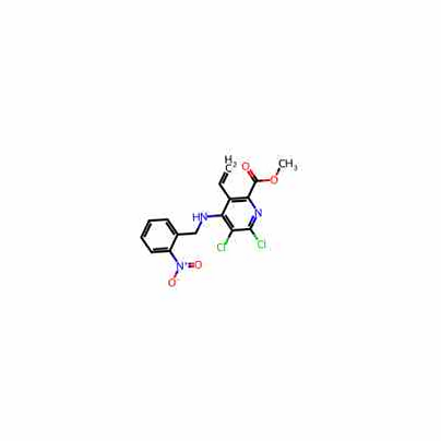 C=Cc1c(C(=O)OC)nc(Cl)c(Cl)c1NCc1ccccc1[N+](=O)[O-]